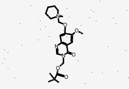 COc1cc2c(=O)n(COC(=O)C(C)(C)C)cnc2cc1OC[N+]1(C)CCCCC1